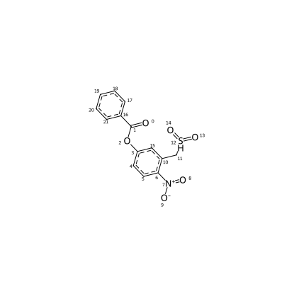 O=C(Oc1ccc([N+](=O)[O-])c(C[SH](=O)=O)c1)c1ccccc1